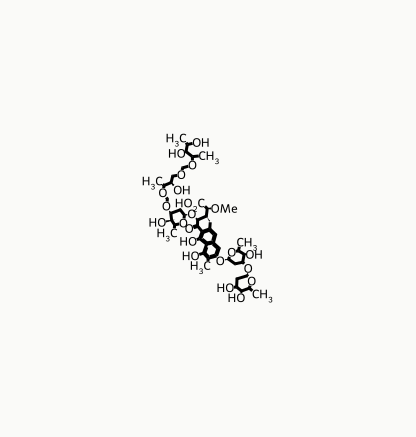 CO[C@H](C(=O)O)[C@@H]1Cc2cc3cc(O[C@H]4CC(O[C@H]5CC(O)[C@H](O)C(C)O5)[C@H](O)C(C)O4)c(C)c(O)c3c(O)c2C(=O)[C@H]1O[C@H]1C[C@@H](OCOC(C)[C@H](O)COCOC(C)[C@@H](O)C(C)O)[C@H](O)C(C)O1